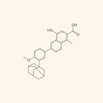 COc1ccc(-c2ccc3c(C)c(C(=O)O)cc(O)c3c2)cc1C12CC3CC(CC(C3)C1)C2